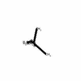 CCCCCCCCCCCCCCCCCC(=O)OC[C@H](COP(=O)(O)OCC[N+](C)(C)C)OCCCCCCCCCCCCCCCC